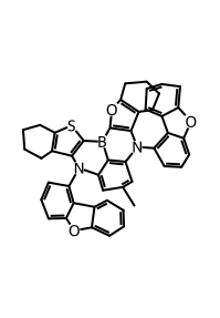 Cc1cc2c3c(c1)N(c1cccc4oc5ccccc5c14)c1c(sc4c1CCCC4)B3c1oc3c(c1N2c1cccc2oc4ccccc4c12)CCCC3